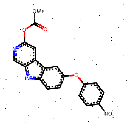 COC(=O)Oc1cc2c(cn1)[nH]c1ccc(Oc3ccc([N+](=O)[O-])cc3)cc12